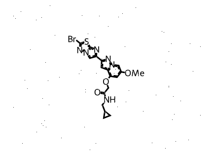 COc1cc(OCC(=O)NCC2CC2)c2cc(-c3cn4nc(Br)sc4n3)nn2c1